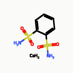 NS(=O)(=O)c1ccccc1S(N)(=O)=O.[CaH2]